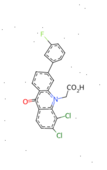 O=C(O)Cn1c2cc(-c3cccc(F)c3)ccc2c(=O)c2ccc(Cl)c(Cl)c21